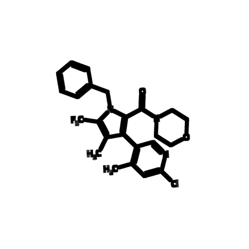 Cc1cc(Cl)ncc1-c1c(C)c(C(F)(F)F)n(Cc2ccccc2)c1C(=O)N1CCOCC1